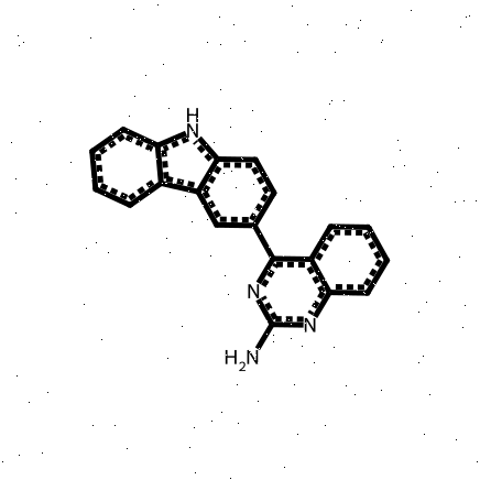 Nc1nc(-c2ccc3[nH]c4ccccc4c3c2)c2ccccc2n1